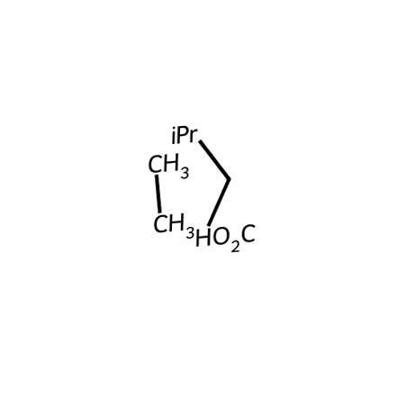 CC.CC(C)CC(=O)O